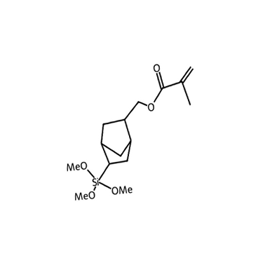 C=C(C)C(=O)OCC1CC2CC1CC2[Si](OC)(OC)OC